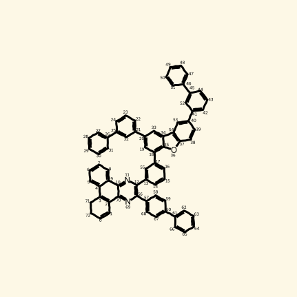 C1=Cc2c(c3ccccc3c3nc(-c4cccc(-c5cc(-c6cccc(-c7ccccc7)c6)cc6c5oc5ccc(-c7cccc(-c8ccccc8)c7)cc56)c4)c(-c4ccc(-c5ccccc5)cc4)nc23)CC1